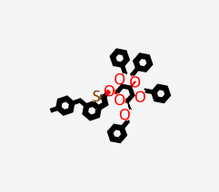 Cc1ccc(Cc2cccc3cc(OC4O[C@H](COCc5ccccc5)[C@@H](OCc5ccccc5)[C@H](OCc5ccccc5)[C@H]4OCc4ccccc4)sc23)cc1